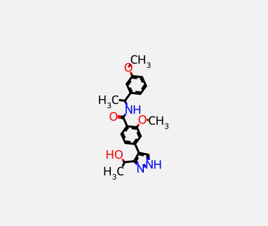 COc1cccc(C(C)NC(=O)c2ccc(-c3c[nH]nc3C(C)O)cc2OC)c1